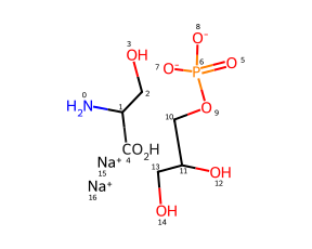 NC(CO)C(=O)O.O=P([O-])([O-])OCC(O)CO.[Na+].[Na+]